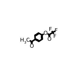 CC(=O)c1ccc(OC(=O)C(F)(F)F)cc1